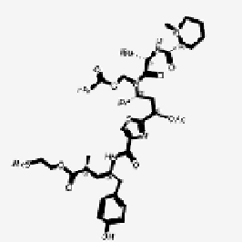 CCCC(=O)OCN(C(=O)[C@@H](NC(=O)[C@H]1CCCCN1C)C(C)CC)[C@H](C[C@@H](OC(C)=O)c1nc(C(=O)N[C@@H](Cc2ccc(O)cc2)C[C@H](C)C(=O)OCCSC)cs1)C(C)C